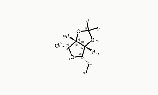 CC[C@@H]1O[C@H](Cl)[C@@H]2OC(C)(C)O[C@@H]21